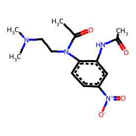 CC(=O)Nc1cc([N+](=O)[O-])ccc1N(CCN(C)C)C(C)=O